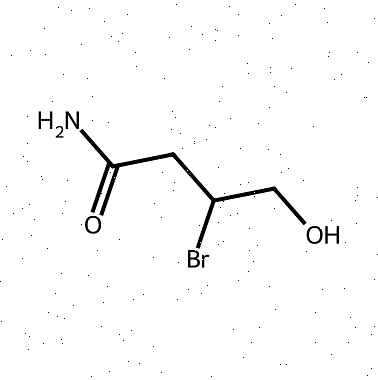 NC(=O)CC(Br)CO